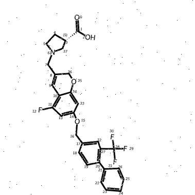 O=C(O)[C@H]1CCN(CC2=Cc3c(F)cc(OCc4ccc(-c5ccccc5)c(C(F)(F)F)c4)cc3OC2)C1